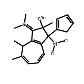 CCCCC1(C)C(=[Si](C)C)C2=C(C=CC=C(C)C2C)[C]1(C1=CC=CC1)[Hf]([Cl])[Cl]